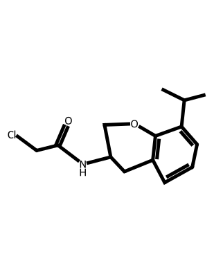 CC(C)c1cccc2c1OCC(NC(=O)CCl)C2